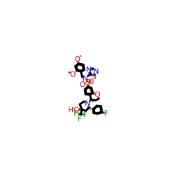 COc1ccc(CN(c2ncns2)S(=O)(=O)c2ccc3c(c2)OCC[C@H]3N2CC[C@@](O)(C(F)(F)F)C[C@H]2c2ccc(F)cc2)c(OC)c1